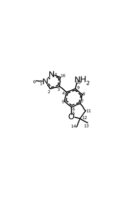 Cn1cc(-c2cc3c(cc2N)CC(C)(C)O3)cn1